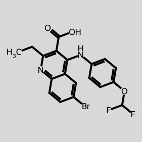 CCc1nc2ccc(Br)cc2c(Nc2ccc(OC(F)F)cc2)c1C(=O)O